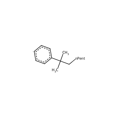 CCCCCCC(C)(C)c1cc[c]cc1